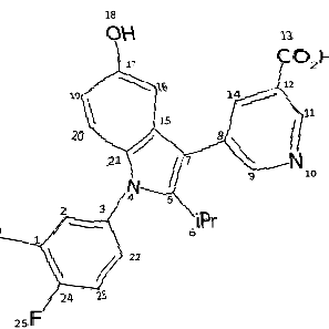 Cc1cc(-n2c(C(C)C)c(-c3cncc(C(=O)O)c3)c3cc(O)ccc32)ccc1F